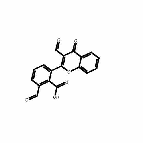 O=Cc1cccc(-c2oc3ccccc3c(=O)c2C=O)c1C(=O)O